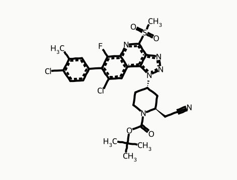 Cc1cc(-c2c(Cl)cc3c(nc(S(C)(=O)=O)c4nnn([C@H]5CCN(C(=O)OC(C)(C)C)[C@H](CC#N)C5)c43)c2F)ccc1Cl